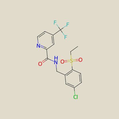 CCS(=O)(=O)c1ccc(Cl)cc1CNC(=O)c1cc(C(F)(F)F)ccn1